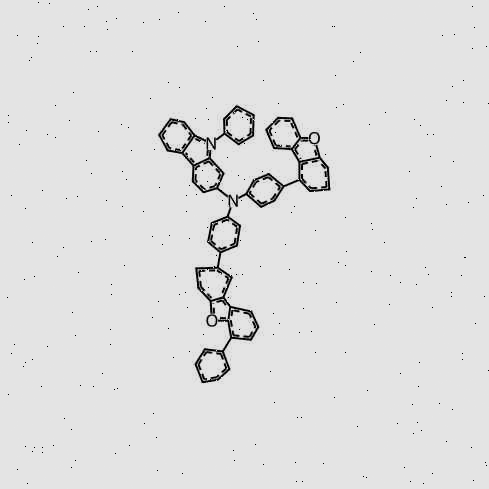 c1ccc(-c2cccc3c2oc2ccc(-c4ccc(N(c5ccc(-c6cccc7oc8ccccc8c67)cc5)c5ccc6c7ccccc7n(-c7ccccc7)c6c5)cc4)cc23)cc1